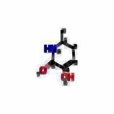 CC1CC=C(O)C(=O)N1